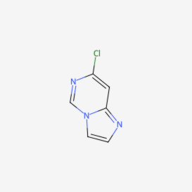 Clc1cc2nccn2cn1